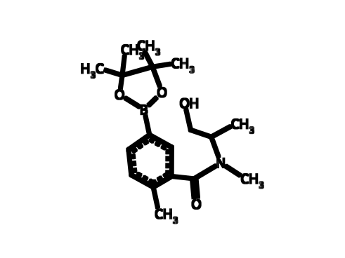 Cc1ccc(B2OC(C)(C)C(C)(C)O2)cc1C(=O)N(C)C(C)CO